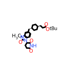 Cn1c(=O)n(C2CCC(=O)NC2=O)c2ccc(C[C@H]3CC[C@H](CCC(=O)OC(C)(C)C)CC3)cc21